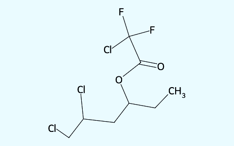 CCC(CC(Cl)CCl)OC(=O)C(F)(F)Cl